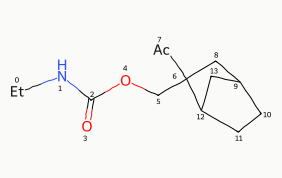 CCNC(=O)OCC1(C(C)=O)CC2CCC1C2